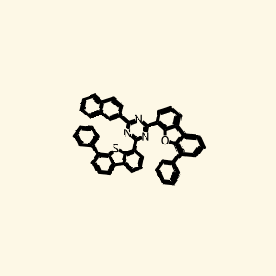 c1ccc(-c2cccc3c2oc2c(-c4nc(-c5ccc6ccccc6c5)nc(-c5cccc6c5sc5c(-c7ccccc7)cccc56)n4)cccc23)cc1